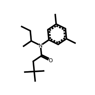 CCC(C)N(C(=O)CC(C)(C)C)c1cc(C)cc(C)c1